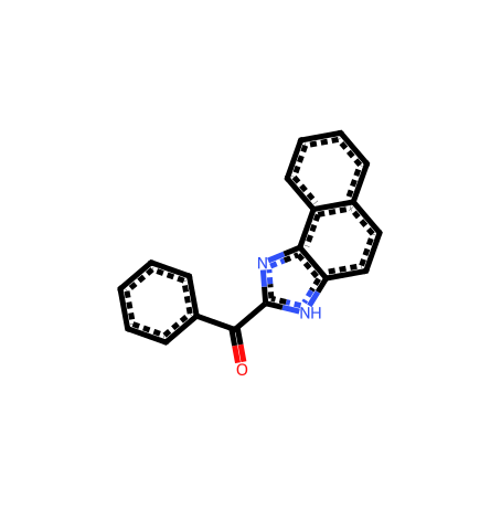 O=C(c1ccccc1)c1nc2c(ccc3ccccc32)[nH]1